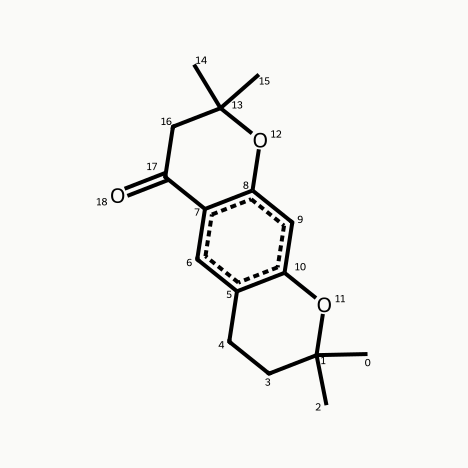 CC1(C)CCc2cc3c(cc2O1)OC(C)(C)CC3=O